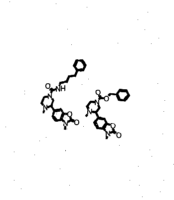 CN1CCN(C(=O)NCCCCc2ccccc2)CC1c1ccc2c(c1)oc(=O)n2C.CN1CCN(C(=O)OCc2ccccc2)CC1c1ccc2c(c1)oc(=O)n2C